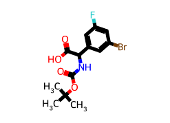 CC(C)(C)OC(=O)NC(C(=O)O)c1cc(F)cc(Br)c1